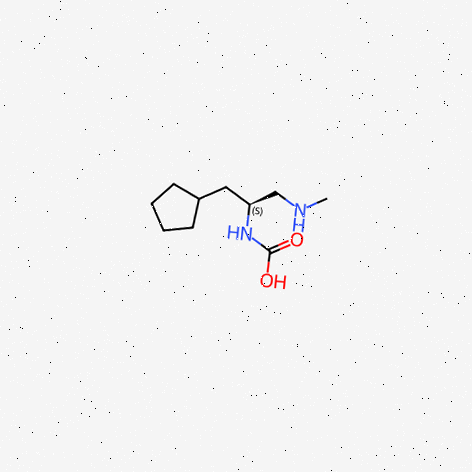 CNC[C@H](CC1CCCC1)NC(=O)O